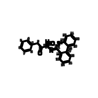 O=C(Cc1ccccc1)N/N=C/c1ccccc1-c1ccccc1S(=O)(=O)O